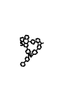 CC1c2ccccc2-c2cc(-c3ccc(CN(c4ccc(-c5ccccc5)cc4)c4ccc(-c5cc(C(c6ccccc6)c6ccccc6)c6c(c5)sc5ccccc56)cc4)cc3)ccc21